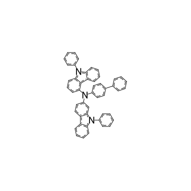 c1ccc(-c2ccc(N(c3ccc4c5ccccc5n(-c5ccccc5)c4c3)c3cccc4c3c3ccccc3n4-c3ccccc3)cc2)cc1